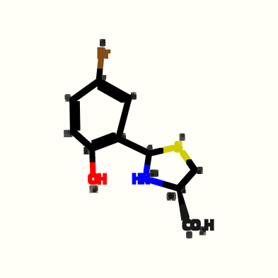 O=C(O)[C@@H]1CSC(c2cc(Br)ccc2O)N1